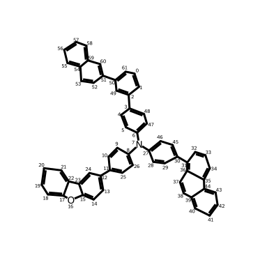 c1cc(-c2ccc(N(c3ccc(-c4ccc5oc6ccccc6c5c4)cc3)c3ccc(-c4cccc5c4ccc4ccccc45)cc3)cc2)cc(-c2ccc3ccccc3c2)c1